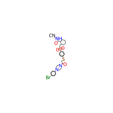 N#CCNC(=O)C1CCCCC1CS(=O)(=O)c1ccc(SCC(=O)N2CCN(c3ccc(Br)cc3)CC2)cc1